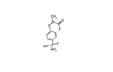 CN(Sc1ccc(P(N)(O)=S)cc1)C(=O)F